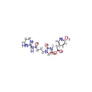 COc1ccc([C@@H](CN2CCN(CCCC(=O)NC3=NCCCN3)C2=O)C(=O)O)cn1